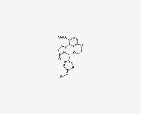 CCOc1ccc(CN2C(=O)CSC2c2c(OC)ccc3c2OCCO3)cc1